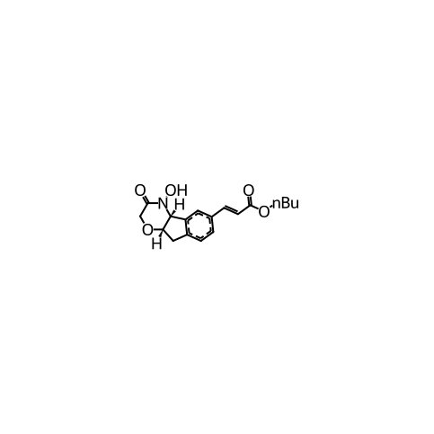 CCCCOC(=O)/C=C/c1ccc2c(c1)[C@@H]1[C@H](C2)OCC(=O)N1O